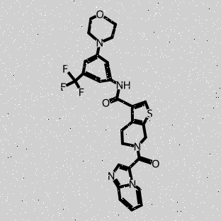 O=C(Nc1cc(N2CCOCC2)cc(C(F)(F)F)c1)c1csc2c1CCN(C(=O)c1cnc3ccccn13)C2